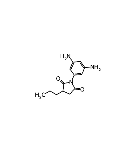 CCCC1CC(=O)N(c2cc(N)cc(N)c2)C1=O